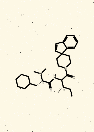 CC[C@H](C)C(NC(=O)[C@H](CC1CCCCC1)N(C)C)C(=O)N1CCC2(C=Cc3ccccc32)CC1